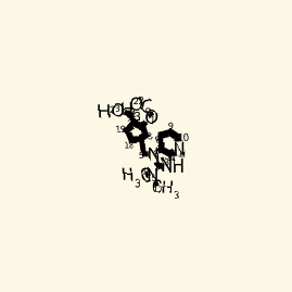 COc1cc(CN2c3cccnc3NC2N(C)C)ccc1C(=O)O